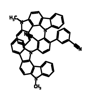 Cn1c2ccccc2c2c1ccc1c3ccccc3n(-c3ccc(-c4cccc(C#N)c4)c(-n4c5ccccc5c5ccc6c(c7ccccc7n6C)c54)c3C#N)c12